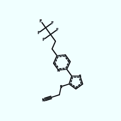 N#CCSc1ccsc1-c1ccc(CCC(F)(F)C(F)(F)F)cn1